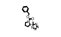 CC1([C@@H]2CCCN2C(=O)OCc2ccccc2)N=NN=N1